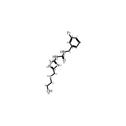 O=C(NCc1cccc(F)c1)Nc1nc(CSCCO)ns1